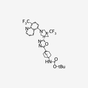 CC(C)(C)OC(=O)NC12CCC(c3nnc([C@]45CN(c6ccc(C(F)(F)F)c7ncccc67)C[C@@]4(C(F)(F)F)C5)o3)(CC1)CC2